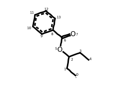 [CH2]CC(CC)OC(=O)c1ccccc1